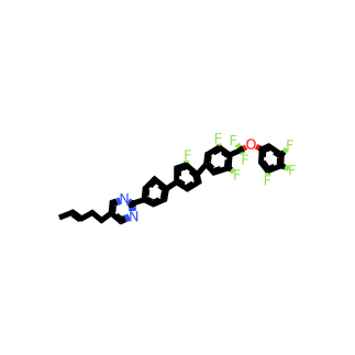 C/C=C/CCc1cnc(-c2ccc(-c3ccc(-c4cc(F)c(C(F)(F)Oc5cc(F)c(F)c(F)c5)c(F)c4)c(F)c3)cc2)nc1